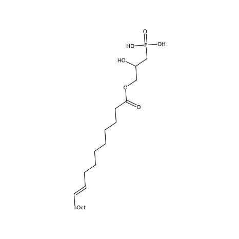 CCCCCCCC/C=C/CCCCCCCC(=O)OCC(O)CP(=O)(O)O